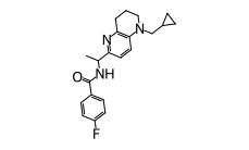 CC(NC(=O)c1ccc(F)cc1)c1ccc2c(n1)CCCN2CC1CC1